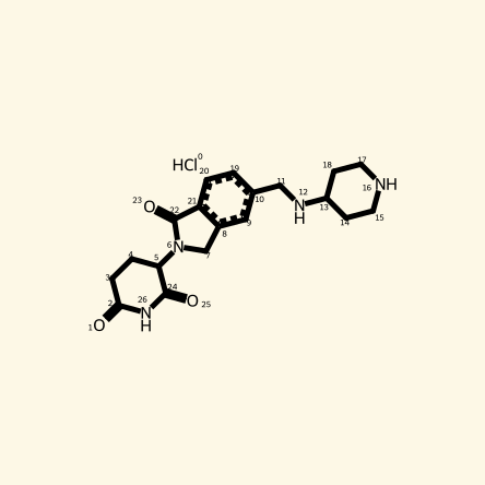 Cl.O=C1CCC(N2Cc3cc(CNC4CCNCC4)ccc3C2=O)C(=O)N1